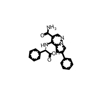 NC(=O)c1cnn2cc(-c3ccccc3)cc2c1N[C@H](C(=O)O)c1ccccc1